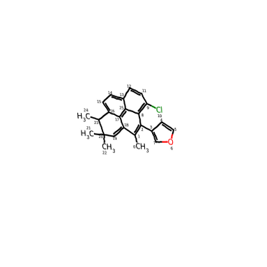 Cc1c(-c2ccoc2)c2c(Cl)ccc3ccc4c(c1=CC(C)(C)C4C)c32